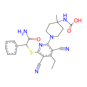 CCc1c(C#N)c(SC(C(N)=O)c2ccccc2)nc(N2CCC(C)(NC(=O)O)CC2)c1C#N